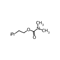 CC(C)CCOC(=O)N(C)C